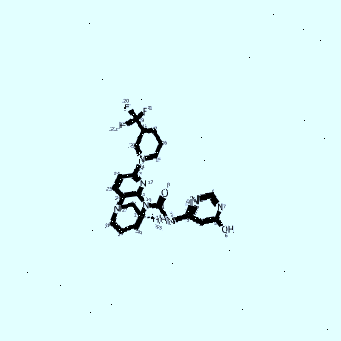 O=C(Nc1cc(O)ncn1)N1c2nc(N3CCCC(C(F)(F)F)C3)ccc2N2CCC[C@H]1C2